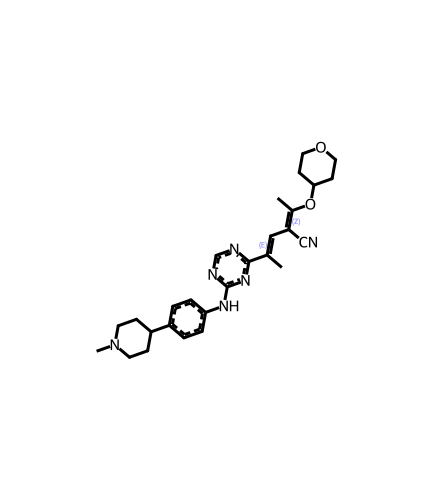 C/C(OC1CCOCC1)=C(C#N)\C=C(/C)c1ncnc(Nc2ccc(C3CCN(C)CC3)cc2)n1